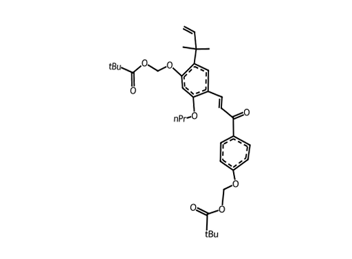 C=CC(C)(C)c1cc(C=CC(=O)c2ccc(OCOC(=O)C(C)(C)C)cc2)c(OCCC)cc1OCOC(=O)C(C)(C)C